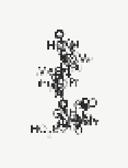 CC[C@H](C)[C@@H]([C@@H](CC(=O)N1CCC[C@H]1[C@H](OC)[C@@H](C)C(=O)N[C@H](C)[C@@H](O)c1ccccc1)OC)N(C)C(=O)[C@@H](NC(=O)C(C(C)C)N(C)C(=O)OCc1ccc(NC(=O)[C@H](CCC(=O)O)NC(=O)[C@H](C)NC(=O)[C@@H](CC(C)C)NC(=O)CCN2C(=O)C=CC2=O)cc1)C(C)C